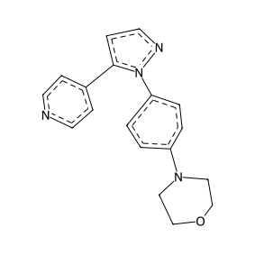 c1cc(-c2ccnn2-c2ccc(N3CCOCC3)cc2)ccn1